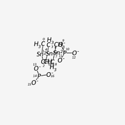 [CH3][Sn+2][CH3].[CH3][Sn+2][CH3].[CH3][Sn+2][CH3].[O-]P([O-])[O-].[O-]P([O-])[O-]